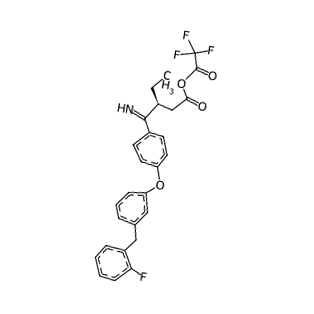 CC[C@@H](CC(=O)OC(=O)C(F)(F)F)C(=N)c1ccc(Oc2cccc(Cc3ccccc3F)c2)cc1